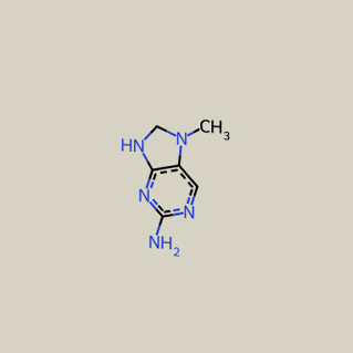 CN1CNc2nc(N)ncc21